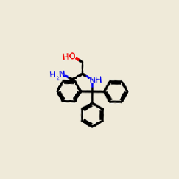 NCC(CO)NC(c1ccccc1)(c1ccccc1)c1ccccc1